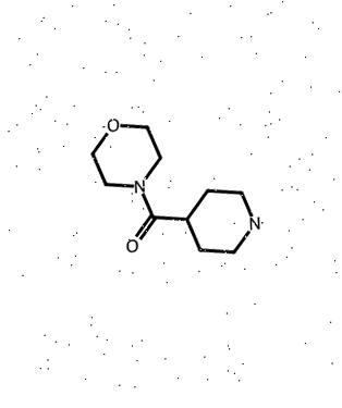 O=C(C1CC[N]CC1)N1CCOCC1